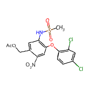 CC(=O)OCc1cc(NS(C)(=O)=O)c(Oc2ccc(Cl)cc2Cl)cc1[N+](=O)[O-]